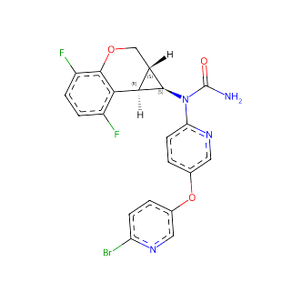 NC(=O)N(c1ccc(Oc2ccc(Br)nc2)cn1)[C@@H]1[C@H]2COc3c(F)ccc(F)c3[C@@H]21